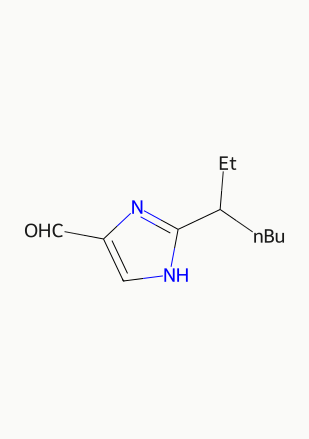 CCCCC(CC)c1nc(C=O)c[nH]1